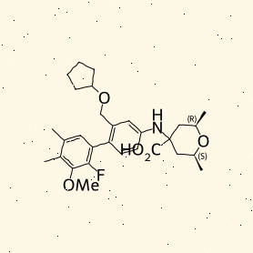 COc1c(C)c(C)cc(-c2ccc(NC3(C(=O)O)C[C@@H](C)O[C@@H](C)C3)cc2COC2CCCC2)c1F